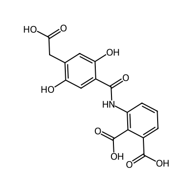 O=C(O)Cc1cc(O)c(C(=O)Nc2cccc(C(=O)O)c2C(=O)O)cc1O